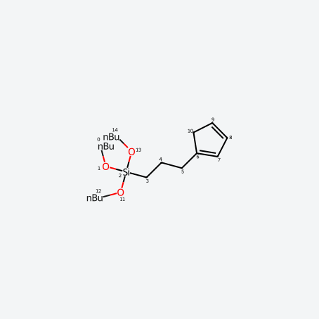 CCCCO[Si](CCCC1=CC=CC1)(OCCCC)OCCCC